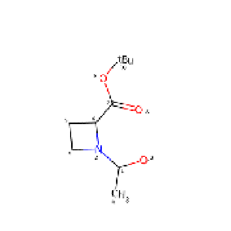 CC([O])N1CCC1C(=O)OC(C)(C)C